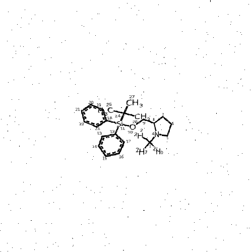 [2H]C([2H])([2H])N1CCCC1CO[Si](c1ccccc1)(c1ccccc1)C(C)(C)C